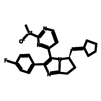 C[S+]([O-])c1nccc(-c2c(-c3ccc(F)cc3)nc3n2[C@H](C=C2CCCC2)CC3)n1